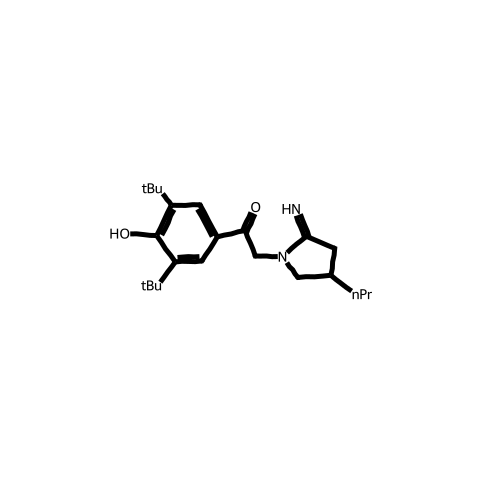 CCCC1CC(=N)N(CC(=O)c2cc(C(C)(C)C)c(O)c(C(C)(C)C)c2)C1